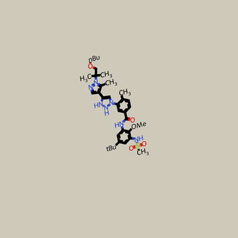 CCCCOCC(C)(C)n1ncc(C2=CN(c3cc(C(=O)Nc4cc(C(C)(C)C)cc(NS(C)(=O)=O)c4OC)ccc3C)NN2)c1C